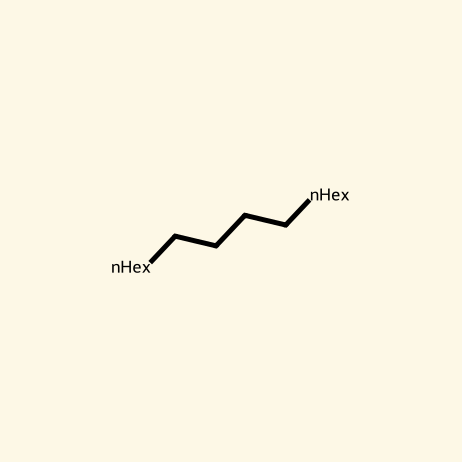 [CH2]CCCCCCCCCCCCCC[CH2]